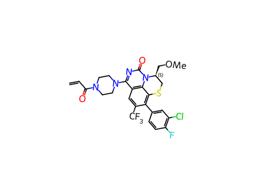 C=CC(=O)N1CCN(c2nc(=O)n3c4c(c(-c5ccc(F)c(Cl)c5)c(C(F)(F)F)cc24)SC[C@@H]3COC)CC1